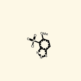 COc1ccc2snnc2c1S(=O)(=O)Cl